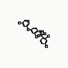 O=S(=O)(Nc1ccc(Oc2cncc(Cl)c2)cc1Cl)c1ccc(Cl)cc1Cl